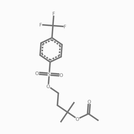 CC(=O)OC(C)(C)CCOS(=O)(=O)c1ccc(C(F)(F)F)cc1